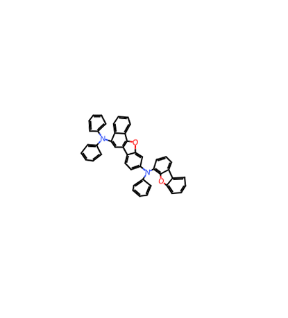 c1ccc(N(c2ccccc2)c2cc3c4ccc(N(c5ccccc5)c5cccc6c5oc5ccccc56)cc4oc3c3ccccc23)cc1